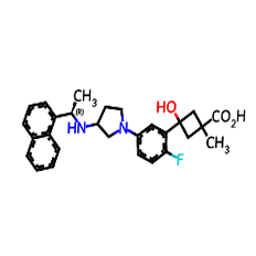 C[C@@H](NC1CCN(c2ccc(F)c(C3(O)CC(C)(C(=O)O)C3)c2)C1)c1cccc2ccccc12